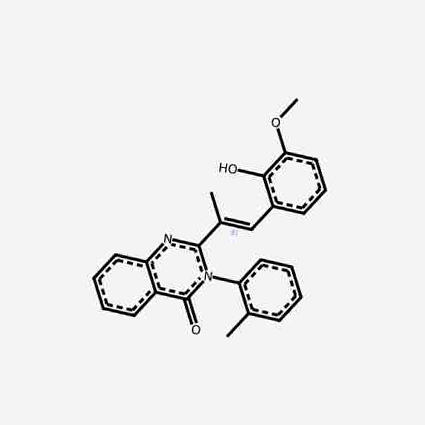 COc1cccc(/C=C(\C)c2nc3ccccc3c(=O)n2-c2ccccc2C)c1O